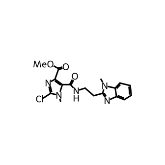 COC(=O)c1nc(Cl)n(C)c1C(=O)NCCc1nc2ccccc2n1C